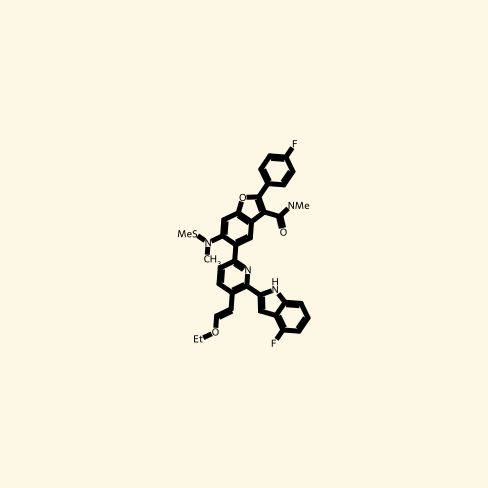 CCO/C=C/c1ccc(-c2cc3c(C(=O)NC)c(-c4ccc(F)cc4)oc3cc2N(C)SC)nc1-c1cc2c(F)cccc2[nH]1